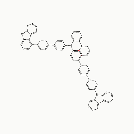 c1ccc(-c2ccccc2N(c2ccc(-c3ccc(-c4ccc(-n5c6ccccc6c6ccccc65)cc4)cc3)cc2)c2ccc(-c3ccc(-c4cccc5oc6ccccc6c45)cc3)cc2)cc1